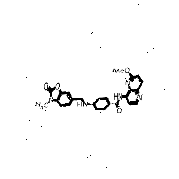 COc1ccc2nccc(NC(=O)[C@H]3CC[C@H](NCc4ccc5c(c4)oc(=O)n5C)CC3)c2n1